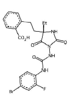 CCC1(CCc2ccccc2C(=O)O)NC(=O)N(NC(=O)Nc2ccc(Br)cc2F)C1=O